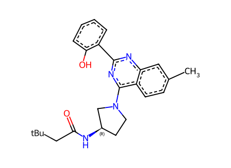 Cc1ccc2c(N3CC[C@@H](NC(=O)CC(C)(C)C)C3)nc(-c3ccccc3O)nc2c1